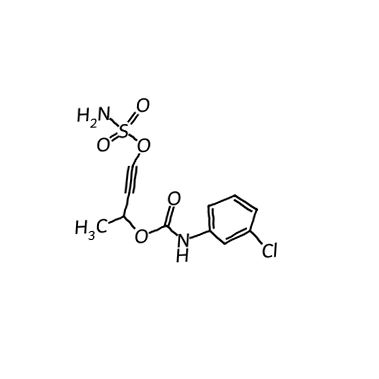 CC(C#COS(N)(=O)=O)OC(=O)Nc1cccc(Cl)c1